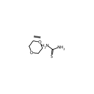 C1COCCO1.C=C.NC(N)=S